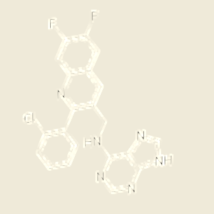 Fc1cc2cc(CNc3ncnc4[nH]cnc34)c(-c3ccccc3Cl)nc2cc1F